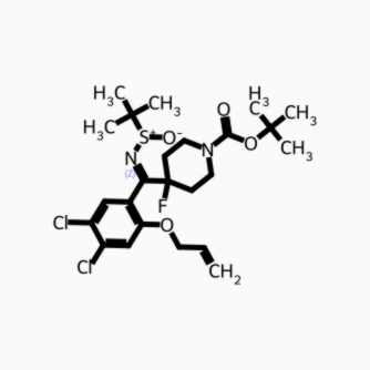 C=CCOc1cc(Cl)c(Cl)cc1/C(=N/[S+]([O-])C(C)(C)C)C1(F)CCN(C(=O)OC(C)(C)C)CC1